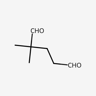 CC(C)(C=O)CCC=O